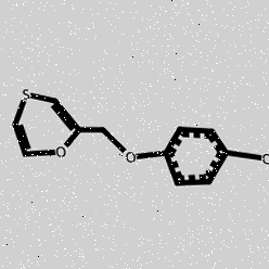 Clc1ccc(OCC2=CSC=CO2)cc1